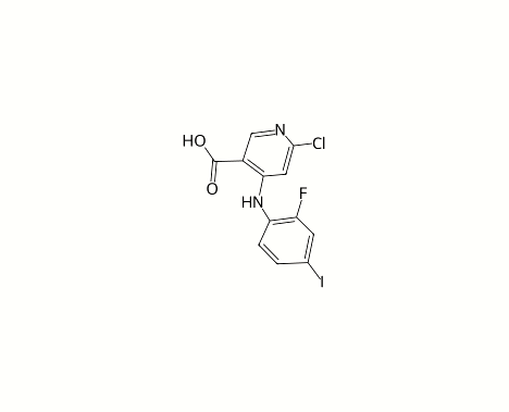 O=C(O)c1cnc(Cl)cc1Nc1ccc(I)cc1F